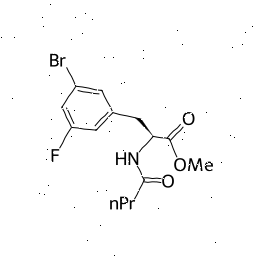 CCCC(=O)N[C@@H](Cc1cc(F)cc(Br)c1)C(=O)OC